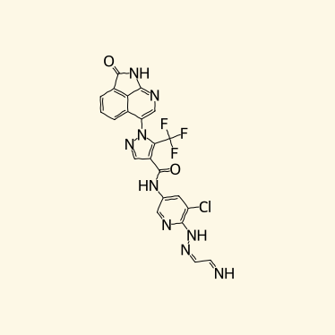 N=C/C=N\Nc1ncc(NC(=O)c2cnn(-c3cnc4c5c(cccc35)C(=O)N4)c2C(F)(F)F)cc1Cl